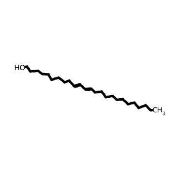 CCCCCCCCCCCCC=CC=CCCCCCCCCCO